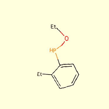 CCOPc1ccccc1CC